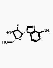 Nc1nccc2c1ncn2[C@@H]1O[C@H](CO)[C@@H](O)[C@H]1F